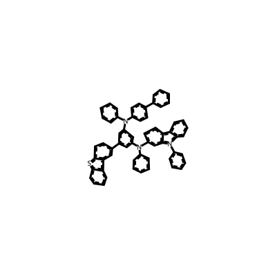 c1ccc(-c2ccc(N(c3ccccc3)c3cc(-c4ccc5sc6ccccc6c5c4)cc(N(c4ccccc4)c4ccc5c6ccccc6n(-c6ccccc6)c5c4)c3)cc2)cc1